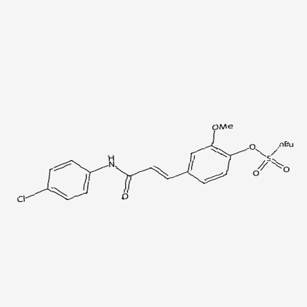 CCCCS(=O)(=O)Oc1ccc(C=CC(=O)Nc2ccc(Cl)cc2)cc1OC